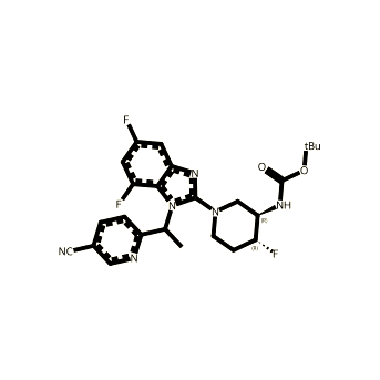 CC(c1ccc(C#N)cn1)n1c(N2CC[C@@H](F)[C@H](NC(=O)OC(C)(C)C)C2)nc2cc(F)cc(F)c21